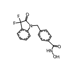 O=C(NO)c1ccc(CN2C(=O)C(F)(F)c3ccccc32)cc1